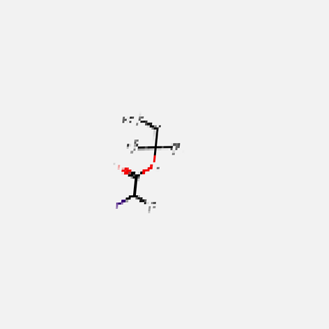 CCC(I)C(=O)OC(CS(=O)(=O)O)(C(F)(F)F)C(F)(F)F